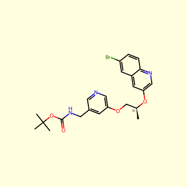 C[C@@H](COc1cncc(CNC(=O)OC(C)(C)C)c1)Oc1cnc2ccc(Br)cc2c1